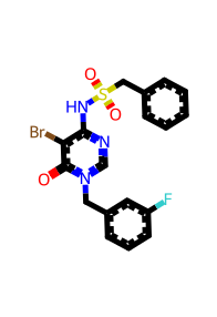 O=c1c(Br)c(NS(=O)(=O)Cc2ccccc2)ncn1Cc1cccc(F)c1